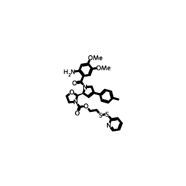 COc1cc(N)c(C(=O)N2CC(c3ccc(C)cc3)=C[C@H]2C2OCCN2C(=O)OCCSSc2ccccn2)cc1OC